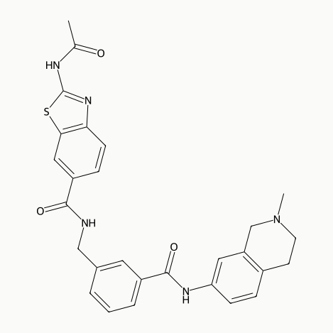 CC(=O)Nc1nc2ccc(C(=O)NCc3cccc(C(=O)Nc4ccc5c(c4)CN(C)CC5)c3)cc2s1